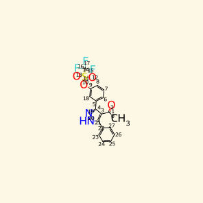 CC(=O)c1c(-c2cccc(OS(=O)(=O)C(F)(F)F)c2)n[nH]c1-c1ccccc1